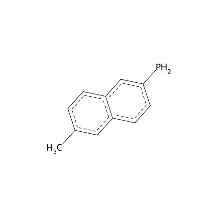 Cc1ccc2cc(P)ccc2c1